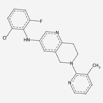 Cc1cccnc1N1CCc2ncc(Nc3c(F)cccc3Cl)cc2C1